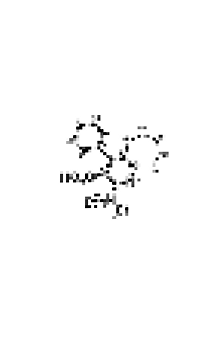 CCN(CC)c1nc2c(c(-c3ccccc3)c1C(=O)O)CCCCC2